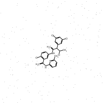 C=C(Nc1cccc(C)n1)c1cc(NC(=C)C(c2cc(Cl)cc(Cl)c2)C(C)Cl)ccc1Cl